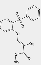 CCCOC(=O)C(O)=COc1ccccc1S(=O)(=O)c1ccccc1